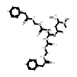 CC(=O)N(C)C(CC(C)N=C(NC(=O)OCOC(=O)Cc1ccccc1)NC(=O)OCOC(=O)Cc1ccccc1)C(=O)O